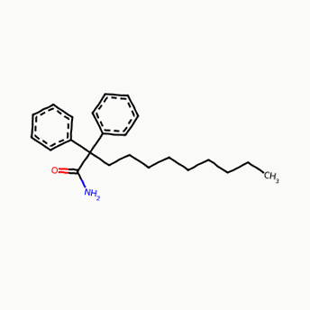 CCCCCCCCCC(C(N)=O)(c1ccccc1)c1ccccc1